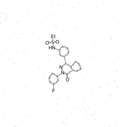 CCS(=O)(=O)Nc1cccc(-c2nn(-c3cccc(F)c3)c(=O)c3ccccc23)c1